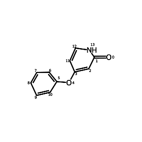 O=c1cc(Oc2ccccc2)cc[nH]1